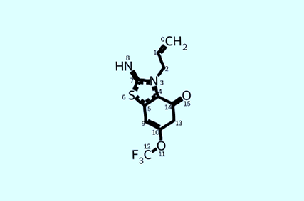 C=CCn1c2c(sc1=N)C=C(OC(F)(F)F)CC2=O